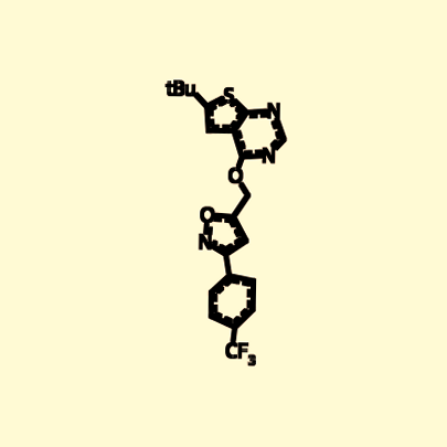 CC(C)(C)c1cc2c(OCc3cc(-c4ccc(C(F)(F)F)cc4)no3)ncnc2s1